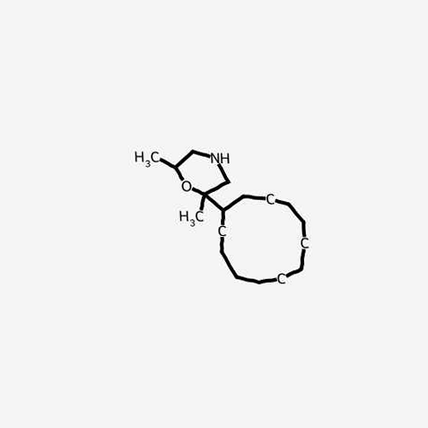 CC1CNCC(C)(C2CCCCCCCCCCC2)O1